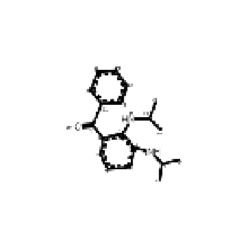 CC(C)Nc1cccc(C(=O)c2ccccc2)c1NC(C)C